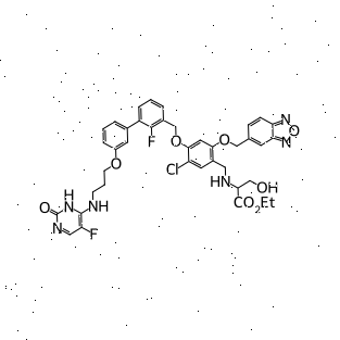 CCOC(=O)C(CO)NCc1cc(Cl)c(OCc2cccc(-c3cccc(OCCCNc4[nH]c(=O)ncc4F)c3)c2F)cc1OCc1ccc2nonc2c1